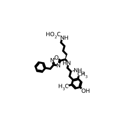 Cc1cc(O)cc(C)c1C[C@@H](N)CN[C@H](CCCCNC(=O)O)c1nc(Cc2ccccc2)no1